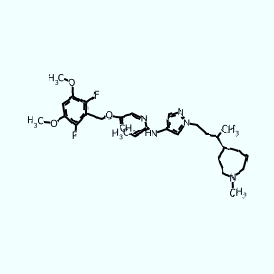 C=C(/C=N\C(=C/C)Nc1cnn(CCC(C)[C@H]2CCCN(C)CC2)c1)OCc1c(F)c(OC)cc(OC)c1F